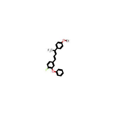 CCOc1ccc(C(=CC=Cc2ccc(F)c(Oc3ccccc3)c2)C(F)(F)F)cc1